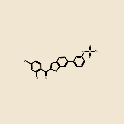 CS(=O)(=O)Nc1cccc(-c2ccc3cc(C(=O)c4ccc(Cl)cc4Cl)oc3c2)c1